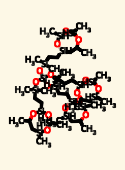 CC1C[SiH](CC[Si](C)(C)O[Si](O[SiH2]CC[SiH]2O[SiH](C)CC(C)O[SiH](C)O2)(O[Si](C)(C)CC[SiH]2OC(C)C[SiH](C)O[SiH](C)O2)O[Si](C)(C)CC[SiH]2OC(C)C[SiH](C)O[SiH](C)O2)O[SiH](C)O[SiH](C)O1